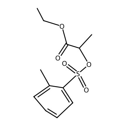 CCOC(=O)C(C)OS(=O)(=O)c1ccccc1C